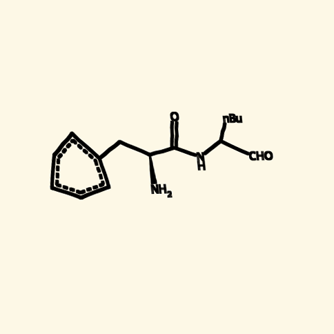 CCCCC(C=O)NC(=O)[C@@H](N)Cc1ccccc1